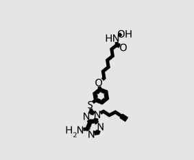 C#CCCCn1c(Sc2cccc(OCCCCCCC(=O)NO)c2)nc2c(N)ncnc21